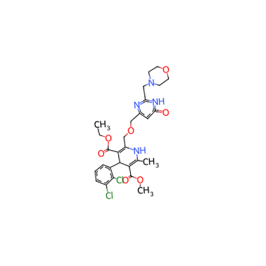 CCOC(=O)C1=C(COCc2cc(=O)[nH]c(CN3CCOCC3)n2)NC(C)=C(C(=O)OC)C1c1cccc(Cl)c1Cl